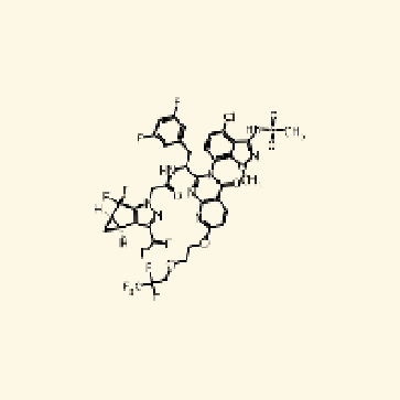 Cn1nc(NS(C)(=O)=O)c2c(Cl)ccc(-n3c([C@H](Cc4cc(F)cc(F)c4)NC(=O)Cn4nc(C(F)F)c5c4C(F)(F)[C@@H]4C[C@H]54)nc4nc(OCCOCC(F)(F)C(F)(F)F)ccc4c3=O)c21